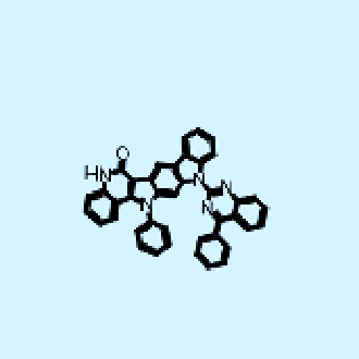 O=c1[nH]c2ccccc2c2c1c1cc3c4ccccc4n(-c4nc(-c5ccccc5)c5ccccc5n4)c3cc1n2-c1ccccc1